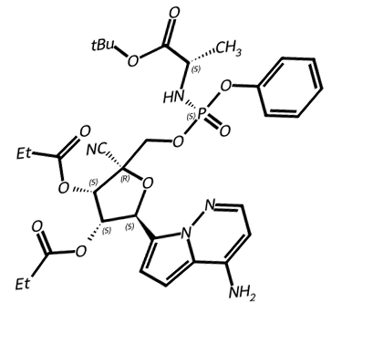 CCC(=O)O[C@H]1[C@H](c2ccc3c(N)ccnn23)O[C@](C#N)(CO[P@@](=O)(N[C@@H](C)C(=O)OC(C)(C)C)Oc2ccccc2)[C@H]1OC(=O)CC